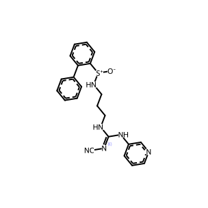 N#C/N=C(\NCCCN[S+]([O-])c1ccccc1-c1ccccc1)Nc1cccnc1